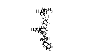 CC(C)(C)OC(=O)NCc1ccc(CCCN(CCNC(=O)c2ccc3ncccc3c2)C(=O)OC(C)(C)C)cc1